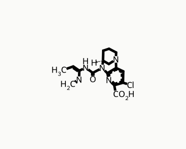 C=N/C(=C\C)NC(=O)N1c2nc(C(=O)O)c(Cl)cc2N2CCC[C@H]1C2